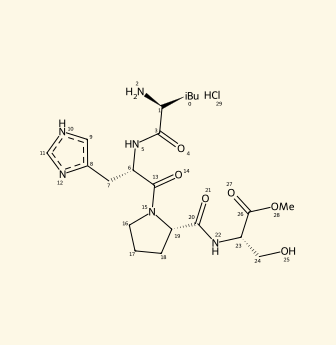 CC[C@H](C)[C@H](N)C(=O)N[C@@H](Cc1c[nH]cn1)C(=O)N1CCC[C@H]1C(=O)N[C@@H](CO)C(=O)OC.Cl